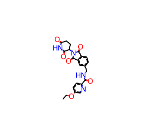 CCOc1ccc(C(=O)NCc2ccc3c(c2)C(=O)N(C2CCC(=O)NC2=O)C3=O)nc1